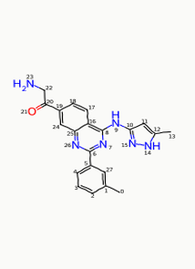 Cc1cccc(-c2nc(Nc3cc(C)[nH]n3)c3ccc(C(=O)CN)cc3n2)c1